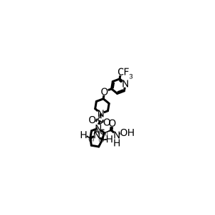 CC(=O)N1[C@@H]2CC[C@H]1[C@H](C(=O)NO)N(S(=O)(=O)N1CCC(Oc3ccnc(C(F)(F)F)c3)CC1)C2